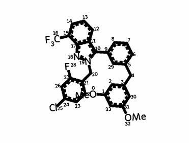 COc1cc(Cc2cccc(-c3c4cccc(C(F)(F)F)c4nn3Cc3ccc(Cl)cc3F)c2)cc(OC)c1